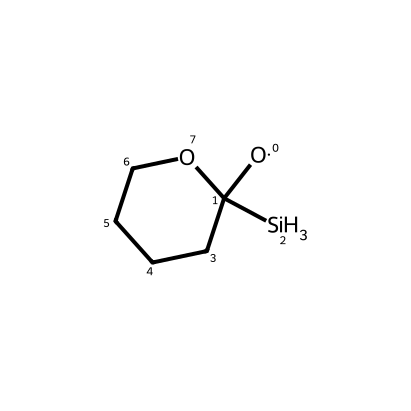 [O]C1([SiH3])CCCCO1